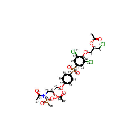 CC(=O)O[C@@H](CCl)COc1c(Cl)cc(S(=O)(=O)c2ccc(OC[C@@H](CN(C(C)=O)S(C)(=O)=O)OC(C)=O)cc2)cc1Cl